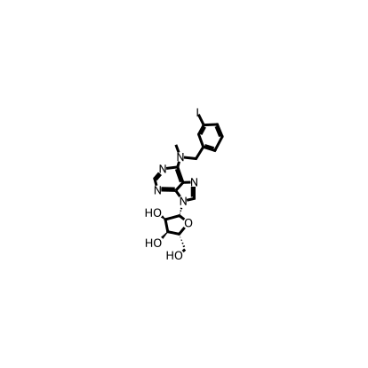 CN(Cc1cccc(I)c1)c1ncnc2c1ncn2[C@@H]1O[C@H](CO)[C@@H](O)[C@H]1O